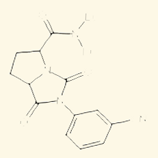 CCN(CC)C(=O)C1CCC2C(=O)N(c3cccc(C#N)c3)C(=O)N12